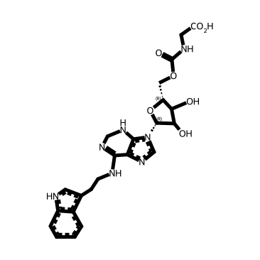 O=C(O)CNC(=O)OC[C@H]1O[C@@H](n2cnc3c2NCN=C3NCCc2c[nH]c3ccccc23)C(O)C1O